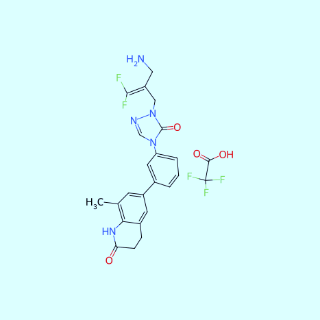 Cc1cc(-c2cccc(-n3cnn(CC(CN)=C(F)F)c3=O)c2)cc2c1NC(=O)CC2.O=C(O)C(F)(F)F